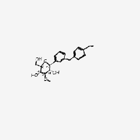 CCc1ccc(Cc2cccc([C@@H]3O[C@H](CO)[C@@H](O)[C@H](OC)[C@H]3O)c2)cc1